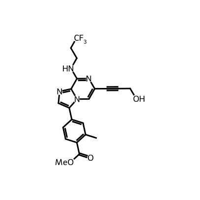 COC(=O)c1ccc(-c2cnc3c(NCCC(F)(F)F)nc(C#CCO)cn23)cc1C